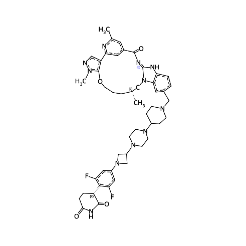 Cc1cc2cc(n1)-c1cnn(C)c1OCCC[C@@H](C)CN1/C(=N/C2=O)Nc2ccc(CN3CCC(N4CCN(C5CN(c6cc(F)c([C@H]7CCC(=O)NC7=O)c(F)c6)C5)CC4)CC3)cc21